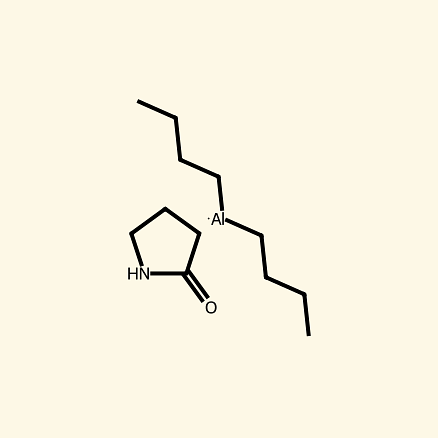 CCC[CH2][Al][CH2]CCC.O=C1CCCN1